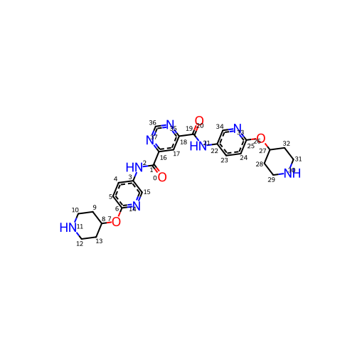 O=C(Nc1ccc(OC2CCNCC2)nc1)c1cc(C(=O)Nc2ccc(OC3CCNCC3)nc2)ncn1